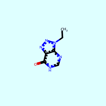 CCn1nnc2c(=O)[nH]cnc21